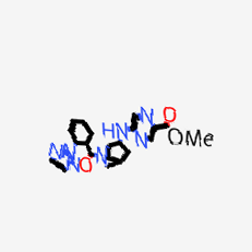 COC(=O)c1cnc(NC2CC3CC2N(C(=O)C2C=CC=CC2n2nccn2)C3)cn1